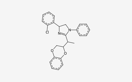 CC(C1=NC(c2ccccc2Cl)CN1c1ccccc1)C1COc2ccccc2O1